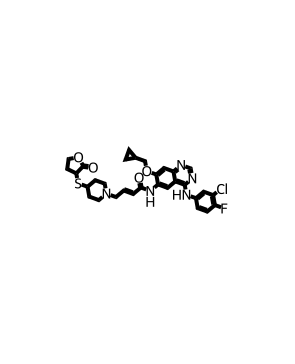 O=C(/C=C/CN1CCC(SC2CCOC2=O)CC1)Nc1cc2c(Nc3ccc(F)c(Cl)c3)ncnc2cc1OCC1CC1